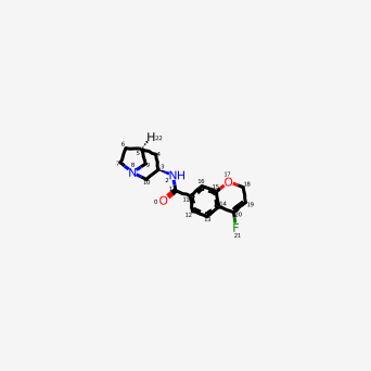 O=C(N[C@@H]1C[C@@H]2CCN(C2)C1)c1ccc2c(c1)OCC=C2F